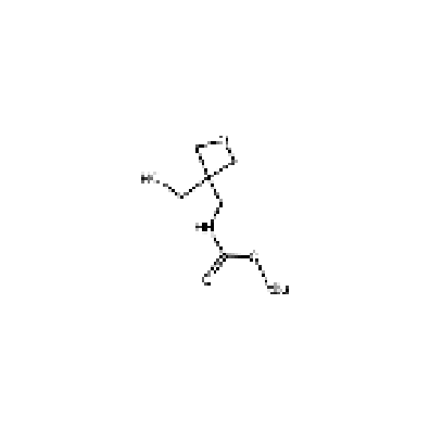 CC(C)(C)OC(=O)NCC1(CO)COC1